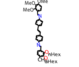 CCCCCCOc1c(C)ccc(/C=N/c2ccc(/C=C/c3ccc(/N=C/c4ccc(OC)c(OC)c4OC)cc3)cc2)c1OCCCCCC